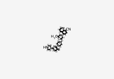 C[C@@H]1CN(c2ccc(C#N)c3ncccc23)C[C@H](CN2CCN(c3nc(N4CCNCC4)ncc3F)CC2)O1